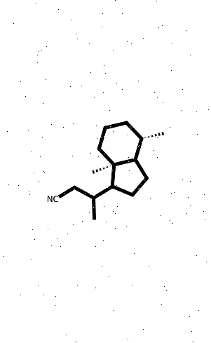 CC(CC#N)C1CCC2[C@@H](C)CCC[C@]12C